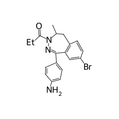 CCC(=O)N1N=C(c2ccc(N)cc2)c2cc(Br)ccc2CC1C